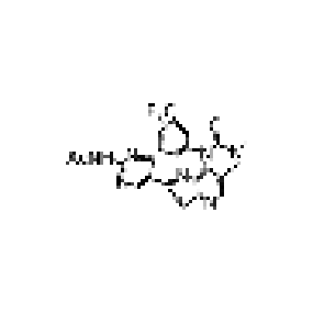 CC(=O)Nc1ncc(-c2ccc3ncc4c(c3n2)N(c2cccc(C(F)(F)F)c2)C(=O)N(C)C4)cn1